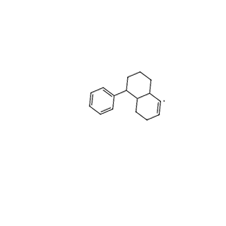 [C]1=CCCC2C1CCCC2c1ccccc1